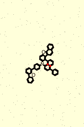 C1=CC2Oc3c(-c4ccc(N(c5ccc(-c6ccccc6)cc5)c5ccc6oc7c8ccccc8ccc7c6c5-c5ccccc5)cc4)cccc3C2C=C1